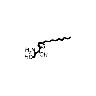 CCCCCCCCCc1ccc(C(O)C(N)CO)s1